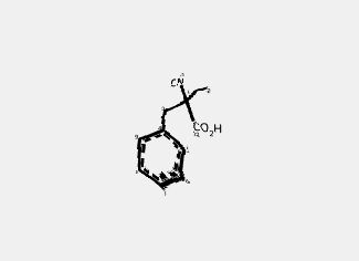 [C-]#[N+]C(C)(Cc1ccccc1)C(=O)O